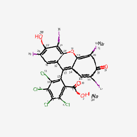 O=C(O)c1c(Cl)c(Cl)c(Cl)c(Cl)c1-c1c2cc(I)c(=O)c(I)c-2oc2c(I)c(O)c(I)cc12.[Na].[Na]